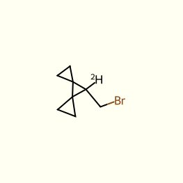 [2H]C1(CBr)C2(CC2)C12CC2